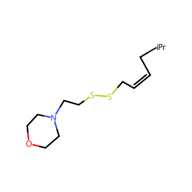 CC(C)C/C=C\CSSCCN1CCOCC1